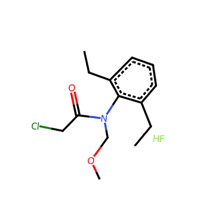 CCc1cccc(CC)c1N(COC)C(=O)CCl.F